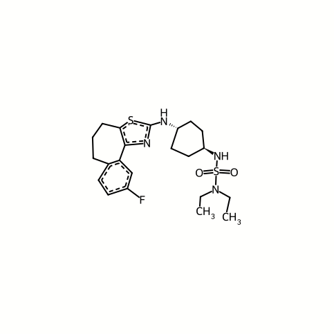 CCN(CC)S(=O)(=O)N[C@H]1CC[C@H](Nc2nc3c(s2)CCCc2ccc(F)cc2-3)CC1